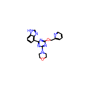 c1ccc(COc2nc(-c3cccc4[nH]cnc34)nc(N3CCOCC3)n2)nc1